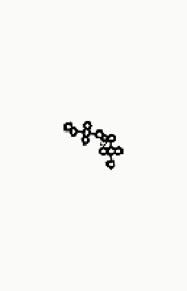 c1ccc(-c2c3ccccc3c(-c3cccc4c3oc3cc(-c5c6ccccc6c(-c6ccc7ccccc7c6)c6ccccc56)ccc34)c3ccccc23)cc1